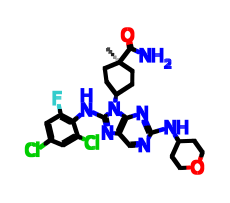 C[C@]1(C(N)=O)CC[C@@H](n2c(Nc3c(F)cc(Cl)cc3Cl)nc3cnc(NC4CCOCC4)nc32)CC1